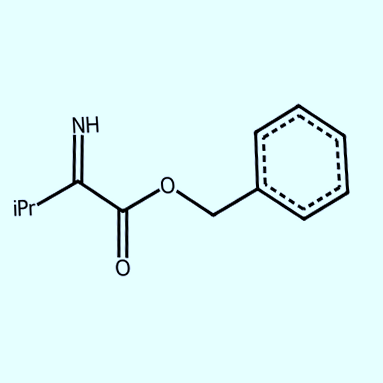 CC(C)C(=N)C(=O)OCc1ccccc1